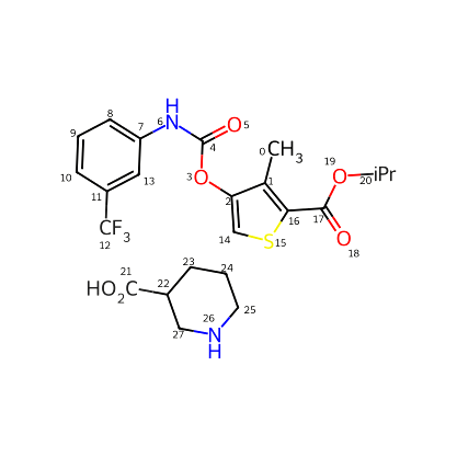 Cc1c(OC(=O)Nc2cccc(C(F)(F)F)c2)csc1C(=O)OC(C)C.O=C(O)C1CCCNC1